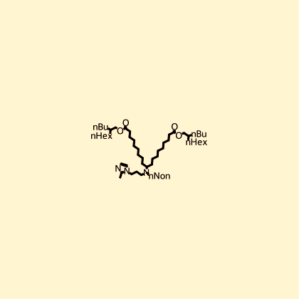 CCCCCCCCCN(CCCn1ccnc1C)C(CCCCCCCCC(=O)OCC(CCCC)CCCCCC)CCCCCCCCC(=O)OCC(CCCC)CCCCCC